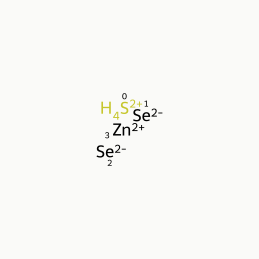 [SH4+2].[Se-2].[Se-2].[Zn+2]